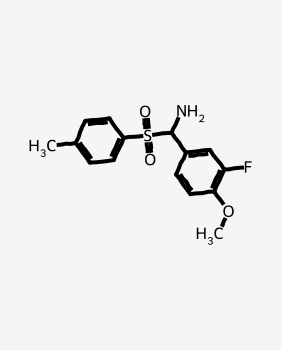 COc1ccc(C(N)S(=O)(=O)c2ccc(C)cc2)cc1F